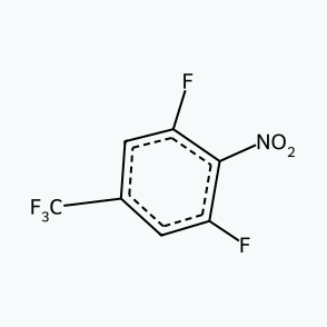 O=[N+]([O-])c1c(F)cc(C(F)(F)F)cc1F